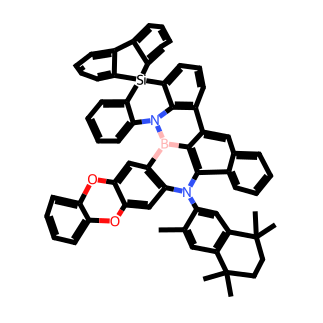 Cc1cc2c(cc1N1c3cc4c(cc3B3c5c(cc6ccccc6c51)-c1cccc5c1N3c1ccccc1[Si]51c3ccccc3-c3ccccc31)Oc1ccccc1O4)C(C)(C)CCC2(C)C